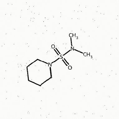 CN(C)S(=O)(=O)N1CCCCC1